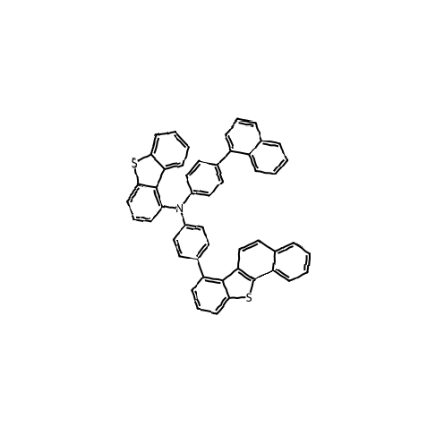 c1ccc2c(-c3ccc(N(c4ccc(-c5cccc6sc7c8ccccc8ccc7c56)cc4)c4cccc5sc6ccccc6c45)cc3)cccc2c1